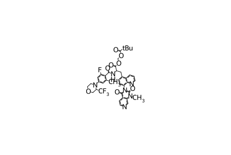 Cc1cc(N2CCOCC2C(F)(F)F)cc(F)c1C(=O)NC(Cc1ccc(-n2c(=O)c3ccncc3n(C)c2=O)c2ncccc12)C(=O)OCOC(=O)C(C)(C)C